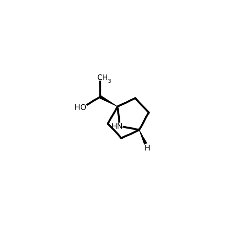 CC(O)[C@]12CC[C@H](CC1)N2